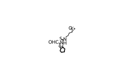 C[S+]([O-])CCCCNC(=S)NC(C=O)Cc1ccccc1